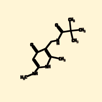 CNc1cc(=O)c(CNC(=O)C(C)(C)C)c(C)[nH]1